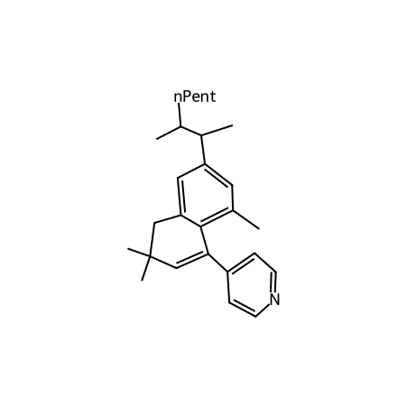 CCCCCC(C)C(C)c1cc(C)c2c(c1)CC(C)(C)C=C2c1ccncc1